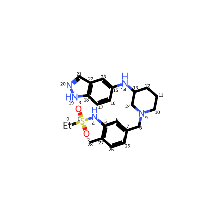 CCS(=O)(=O)Nc1cc(CN2CCCC(Nc3ccc4[nH]ncc4c3)C2)ccc1C